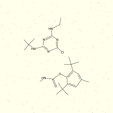 CCNc1nc(Cl)nc(NC(C)(C)C)n1.CNC(=O)Oc1c(C(C)(C)C)cc(C)cc1C(C)(C)C